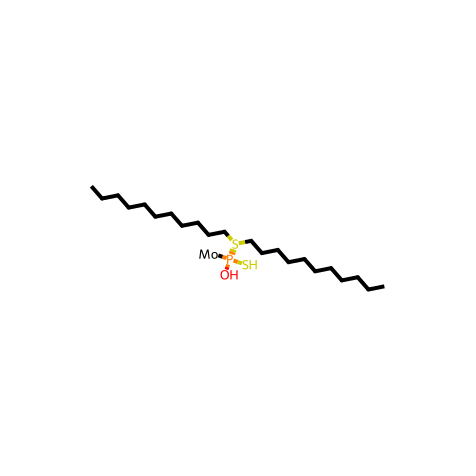 CCCCCCCCCCCS(CCCCCCCCCCC)=[P](O)(S)[Mo]